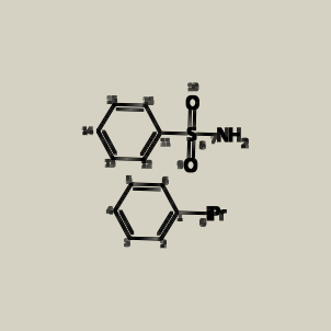 CC(C)c1ccccc1.NS(=O)(=O)c1ccccc1